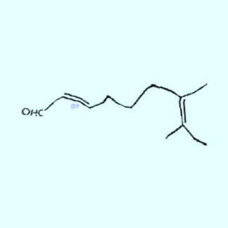 CC(C)=C(C)CCC/C=C/C=O